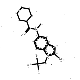 CN(C(=O)C1CCCCC1)c1ccc2c(c1)nc(N)n2CC(F)(F)F